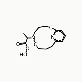 CC(C(=O)OO)N1CCCCc2cccc(n2)CCCC1